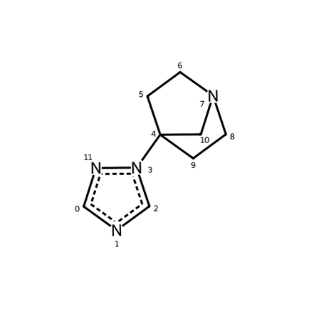 c1ncn(C23CCN(CC2)C3)n1